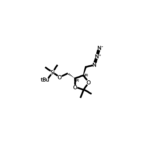 CC1(C)O[C@H](CN=[N+]=[N-])[C@@H](CO[Si](C)(C)C(C)(C)C)O1